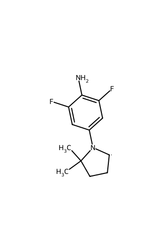 CC1(C)CC[CH]N1c1cc(F)c(N)c(F)c1